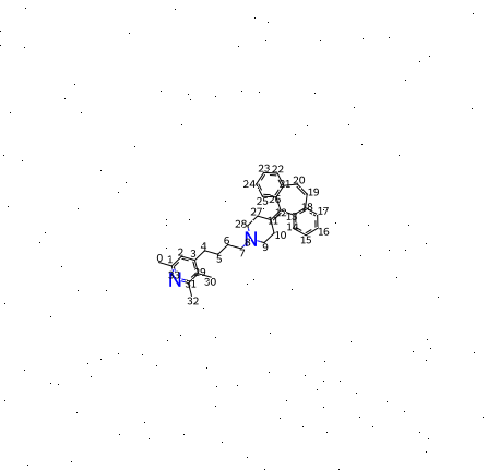 Cc1cc(CCCCN2CCC(=C3c4ccccc4C=Cc4ccccc43)CC2)c(C)c(C)n1